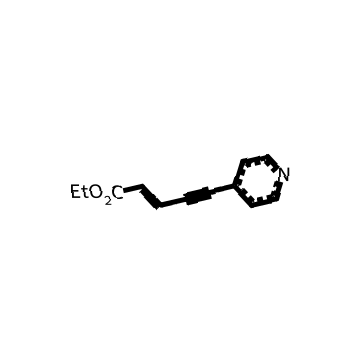 CCOC(=O)C=CC#Cc1ccncc1